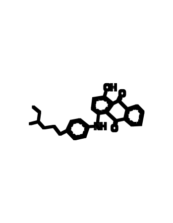 CCC(C)CCCc1ccc(Nc2ccc(O)c3c2C(=O)c2ccccc2C3=O)cc1